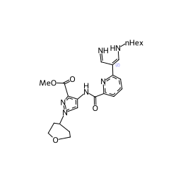 CCCCCCN/C=C(\C=N)c1cccc(C(=O)Nc2cn(C3CCOCC3)nc2C(=O)OC)n1